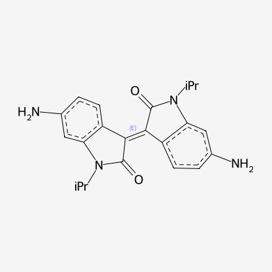 CC(C)N1C(=O)/C(=C2/C(=O)N(C(C)C)c3cc(N)ccc32)c2ccc(N)cc21